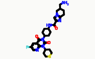 NCC1CCc2nc(C(=O)NC3CCC(n4c(=O)c5cc(F)cnc5n(C5CCSCC5)c4=O)CC3)cn2C1